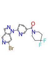 O=C(c1ccc(-n2ncc3cnc(Br)cc32)nc1)N1CCC(F)(F)CC1